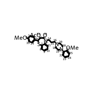 COc1ccc(C2Sc3ccccc3N(CCCN3CCN(c4ccccc4OC)CC3)C(=O)C2OC(C)=O)cc1